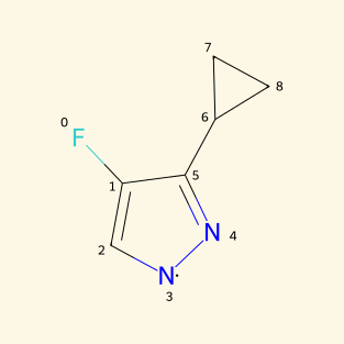 FC1=C[N]N=C1C1CC1